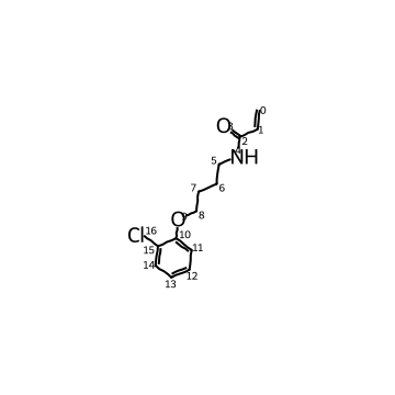 C=CC(=O)NCCCCOc1ccccc1Cl